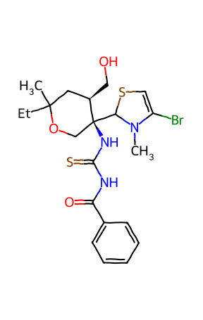 CCC1(C)C[C@@H](CO)[C@](NC(=S)NC(=O)c2ccccc2)(C2SC=C(Br)N2C)CO1